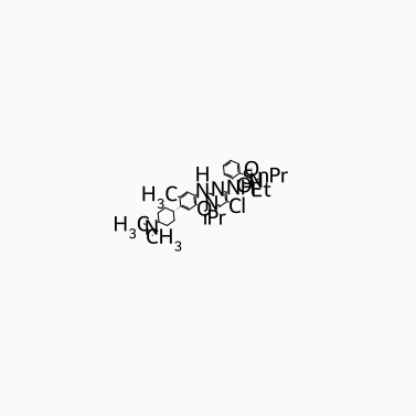 CCCN(CC)S(=O)(=O)c1ccccc1Nc1nc(Nc2cc(C)c([C@H]3CC[C@@H](N(C)C)CC3)cc2OC(C)C)ncc1Cl